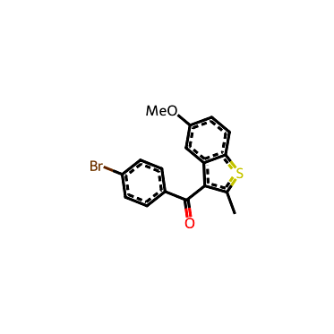 COc1ccc2sc(C)c(C(=O)c3ccc(Br)cc3)c2c1